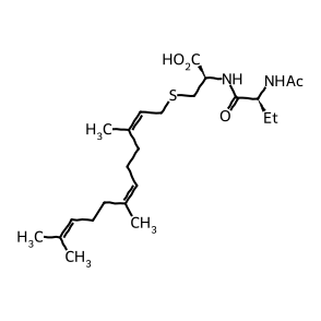 CC[C@H](NC(C)=O)C(=O)N[C@@H](CSCC=C(C)CCC=C(C)CCC=C(C)C)C(=O)O